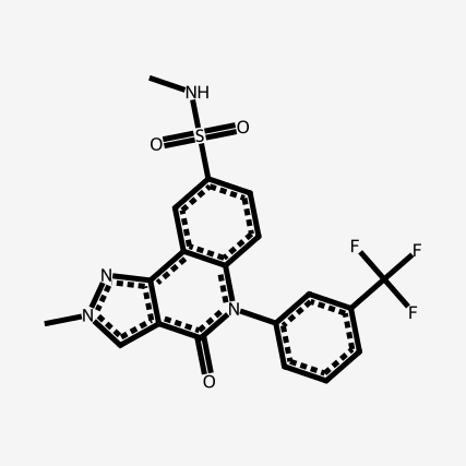 CNS(=O)(=O)c1ccc2c(c1)c1nn(C)cc1c(=O)n2-c1cccc(C(F)(F)F)c1